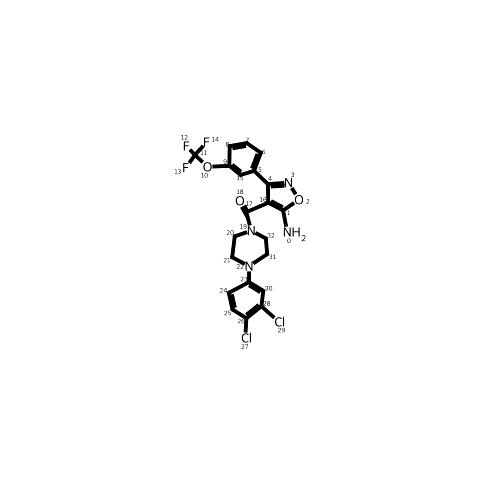 Nc1onc(-c2cccc(OC(F)(F)F)c2)c1C(=O)N1CCN(c2ccc(Cl)c(Cl)c2)CC1